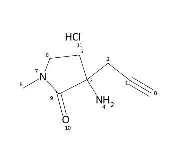 C#CCC1(N)CCN(C)C1=O.Cl